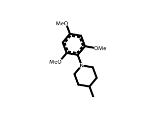 [CH2]C1CCN(c2c(OC)cc(OC)cc2OC)CC1